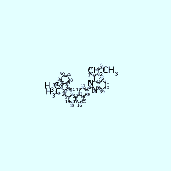 C=C/C(=C\C=C/C)c1nc(-c2ccc3c(ccc4ccc5cc6c(cc5c43)-c3ccccc3C6(C)C)c2)nc2ccccc12